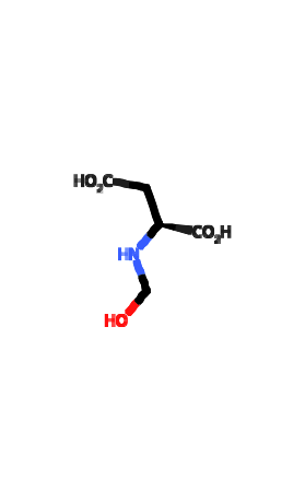 O=C(O)C[C@H](NCO)C(=O)O